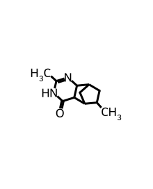 CC1=NC2C3CC(C)C(C3)C2C(=O)N1